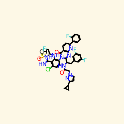 C[S+]([O-])NC(=N)c1c(Cl)ccc(-n2c(C(Cc3cc(F)cc(F)c3)NC(=O)Cn3ccc(C4CC4)n3)nc3nc(-c4ccccc4F)ccc3c2=O)c1NCCF